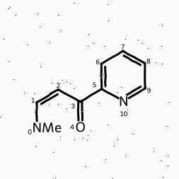 CN/C=C\C(=O)c1ccccn1